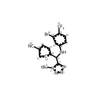 CC(C)(C)n1nnnc1C(Nc1ccc(C(F)(F)F)c(Br)c1)c1ccc(C#N)cc1